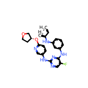 C=CC(=C)Nc1cccc(Nc2nc(Nc3ccc(O[C@@H]4CCOC4)nc3)ncc2F)c1